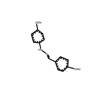 COc1ccc(C=NNc2ccc(OC)cc2)cc1